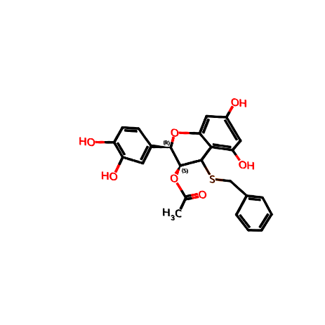 CC(=O)O[C@@H]1C(SCc2ccccc2)c2c(O)cc(O)cc2O[C@@H]1c1ccc(O)c(O)c1